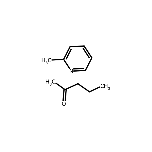 CCCC(C)=O.Cc1ccccn1